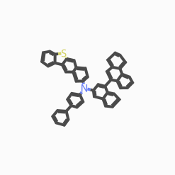 c1ccc(-c2ccc(N(c3ccc4cc5sc6ccccc6c5cc4c3)c3cc(-c4cc5ccccc5c5ccccc45)c4ccccc4c3)cc2)cc1